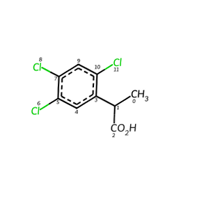 CC(C(=O)O)c1cc(Cl)c(Cl)cc1Cl